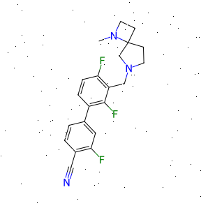 CN1CCC12CCN(Cc1c(F)ccc(-c3ccc(C#N)c(F)c3)c1F)C2